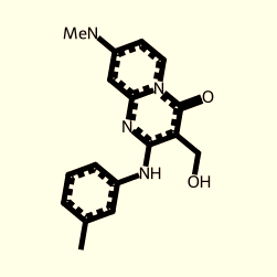 CNc1ccn2c(=O)c(CO)c(Nc3cccc(C)c3)nc2c1